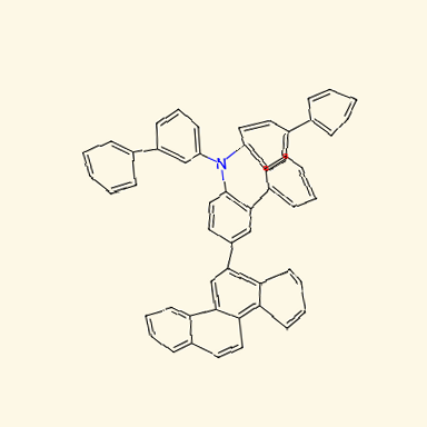 c1ccc(-c2ccc(N(c3cccc(-c4ccccc4)c3)c3ccc(-c4cc5c6ccccc6ccc5c5ccccc45)cc3-c3ccccc3)cc2)cc1